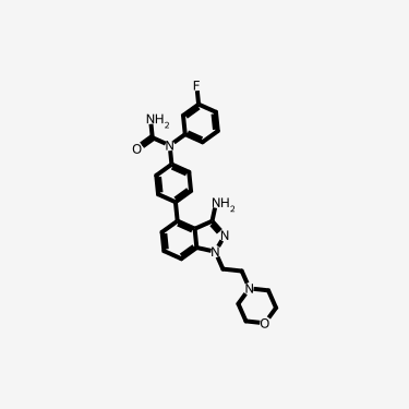 NC(=O)N(c1ccc(-c2cccc3c2c(N)nn3CCN2CCOCC2)cc1)c1cccc(F)c1